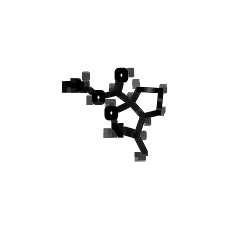 CCCCOC(=O)C12CCCC1C(C)=NO2